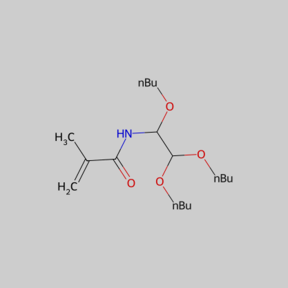 C=C(C)C(=O)NC(OCCCC)C(OCCCC)OCCCC